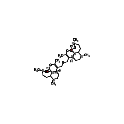 C[C@@H]1CC[C@H]2C(CSCC3=C(C(F)(F)F)O[C@@H]4O[C@]5(C)CCC6[C@H](C)CC[C@@H]3[C@]64CO5)=C(C(F)(F)F)OC3O[C@]4(C)CCC1[C@]32OO4